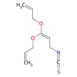 C=CCOC(=CCN=C=S)OCC=C